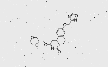 O=c1nc(OCC2COCCO2)cc2n1CCc1cc(OCc3ncon3)ccc1-2